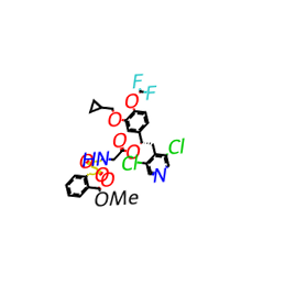 COC(=O)c1ccccc1S(=O)(=O)NCC(=O)O[C@@H](Cc1c(Cl)cncc1Cl)c1ccc(OC(F)F)c(OCC2CC2)c1